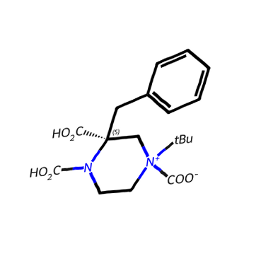 CC(C)(C)[N+]1(C(=O)[O-])CCN(C(=O)O)[C@](Cc2ccccc2)(C(=O)O)C1